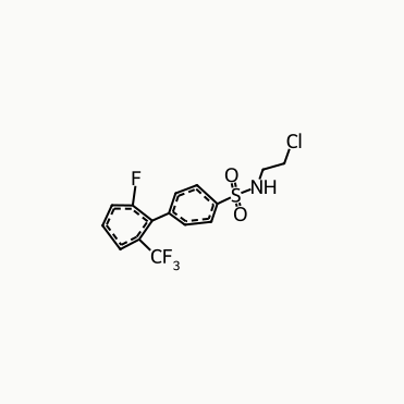 O=S(=O)(NCCCl)c1ccc(-c2c(F)cccc2C(F)(F)F)cc1